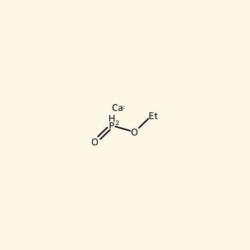 CCO[PH2]=O.[Ca]